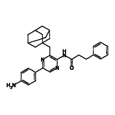 Nc1ccc(-c2cnc(NC(=O)CCc3ccccc3)c(CC34CC5CC(CC(C5)C3)C4)n2)cc1